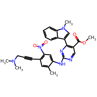 COC(=O)c1cnc(Nc2cc([N+](=O)[O-])c(C#CCN(C)C)cc2C)nc1-c1cn(C)c2ccccc12